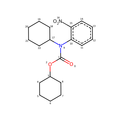 O=C(OC1CCCCC1)N(c1ccccc1[N+](=O)[O-])C1CCCCC1